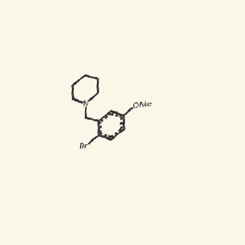 COc1ccc(Br)c(CN2CCCCC2)c1